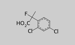 CC(F)(C(=O)O)c1ccc(Cl)cc1Cl